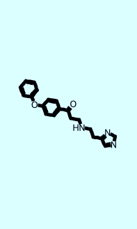 O=C(CCNCCC1=NCN=C1)c1ccc(Oc2ccccc2)cc1